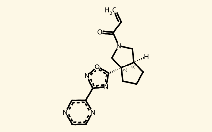 C=CC(=O)N1C[C@H]2CCC[C@@]2(c2nc(-c3cnccn3)no2)C1